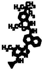 COc1ccc(C(C)(C)C)cc1NC(=O)Nc1ccc(-n2cnc3c(NC4CC4)nc(C)nc32)c2ccccc12